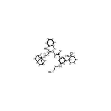 CCNc1cc(C(=O)N[C@@H](Cc2ccccc2)[C@H](O)CNC23CC4CC(CC(C4)C2)C3)cc(N2CCCCS2(O)O)c1.Cl